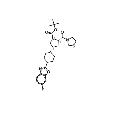 CC(C)(C)OC(=O)N1C[C@@H](N2CCC(c3nc4ccc(F)cc4o3)CC2)C[C@H]1C(=O)N1CCSC1